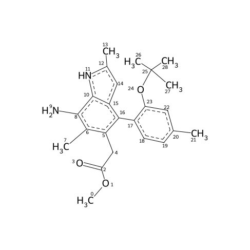 COC(=O)Cc1c(C)c(N)c2[nH]c(C)cc2c1-c1ccc(C)cc1OC(C)(C)C